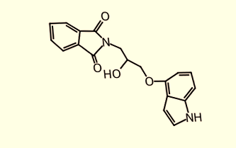 O=C1c2ccccc2C(=O)N1CC(O)COc1cccc2[nH]ccc12